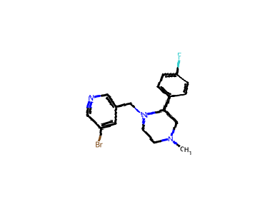 CN1CCN(Cc2cncc(Br)c2)C(c2ccc(F)cc2)C1